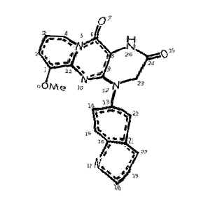 COc1cccn2c(=O)c3c(nc12)N(c1ccc2ncccc2c1)CC(=O)N3